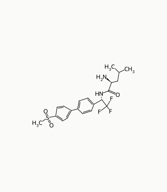 CC(C)C[C@H](N)C(=O)N[C@@H](c1ccc(-c2ccc(S(C)(=O)=O)cc2)cc1)C(F)(F)F